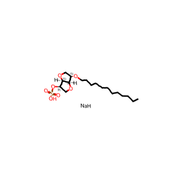 CCCCCCCCCCCCO[C@H]1CO[C@H]2[C@@H]1OC[C@H]2OS(=O)(=O)O.[NaH]